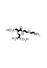 NCCOCCNC(=O)C(CC(=O)O)SC[C@H](N)C(=O)O